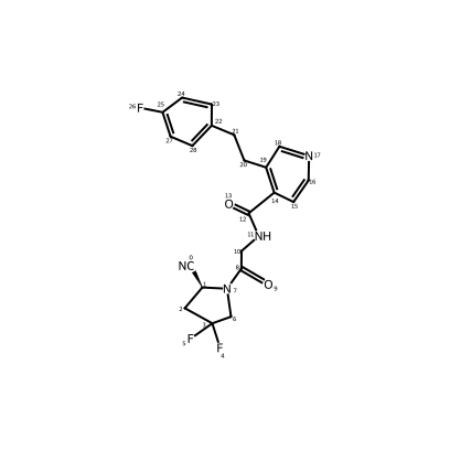 N#C[C@@H]1CC(F)(F)CN1C(=O)CNC(=O)c1ccncc1CCc1ccc(F)cc1